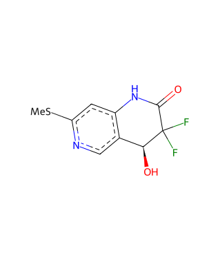 CSc1cc2c(cn1)[C@H](O)C(F)(F)C(=O)N2